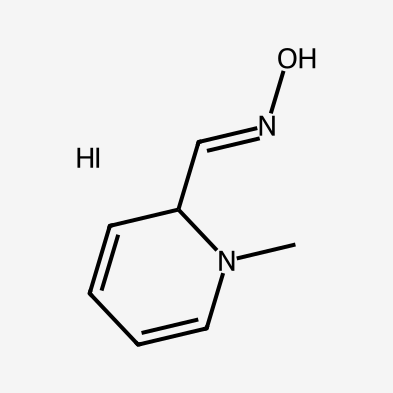 CN1C=CC=CC1C=NO.I